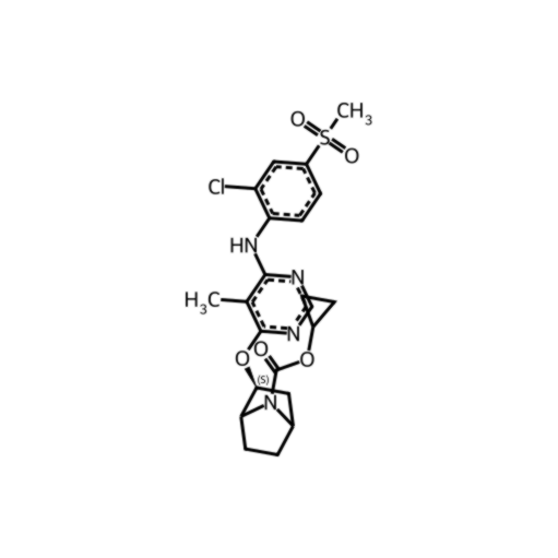 Cc1c(Nc2ccc(S(C)(=O)=O)cc2Cl)ncnc1O[C@H]1CC2CCC1N2C(=O)OC1CC1